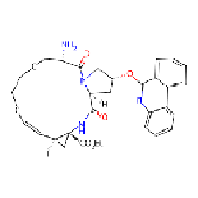 CCOC(=O)[C@@]12C[C@H]1C=CCCCCC[C@H](N)C(=O)N1C[C@H](Oc3nc4ccccc4c4ccccc34)C[C@H]1C(=O)N2